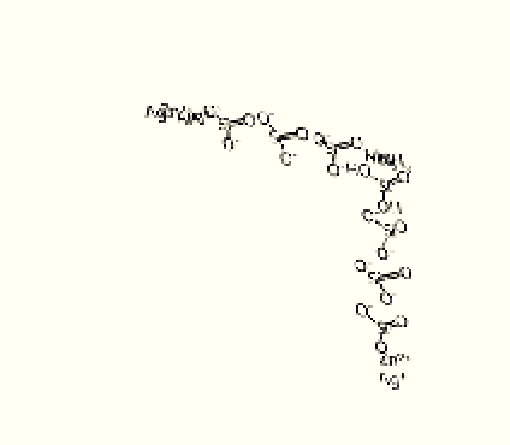 N.N.O=[Si](O)O.O=[Si]([O-])[O-].O=[Si]([O-])[O-].O=[Si]([O-])[O-].O=[Si]([O-])[O-].O=[Si]([O-])[O-].O=[Si]([O-])[O-].[Ag+].[Ag+].[Al+3].[Al+3].[Zn+2].[Zn+2]